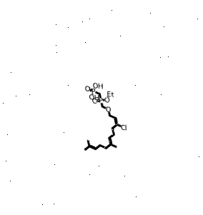 CCOP(=O)(COC/C=C(/Cl)CC/C=C(\C)CCC=C(C)C)CP(=O)(O)O